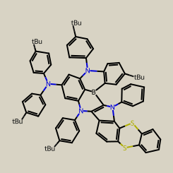 CC(C)(C)c1ccc(N(c2ccc(C(C)(C)C)cc2)c2cc3c4c(c2)N(c2ccc(C(C)(C)C)cc2)c2c(n(-c5ccccc5)c5c6c(ccc25)Sc2ccccc2S6)B4c2cc(C(C)(C)C)ccc2N3c2ccc(C(C)(C)C)cc2)cc1